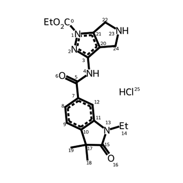 CCOC(=O)n1nc(NC(=O)c2ccc3c(c2)N(CC)C(=O)C3(C)C)c2c1CNC2.Cl